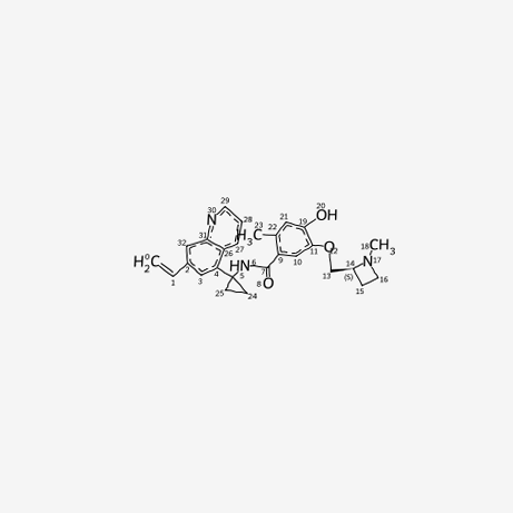 C=Cc1cc(C2(NC(=O)c3cc(OC[C@@H]4CCN4C)c(O)cc3C)CC2)c2cccnc2c1